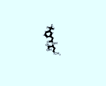 CCCC(NC(=O)Cc1cccc(C(F)(F)F)c1)C(=O)O